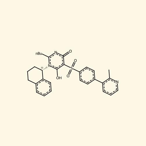 CCCCc1nc(=O)c(S(=O)(=O)c2ccc(-c3cccnc3C)cc2)c(O)n1[C@H]1CCCc2ccccc21